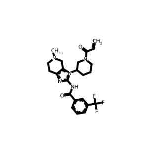 C=CC(=O)N1CCCC(n2c(NC(=O)c3cccc(C(F)(F)F)c3)nc3c2CN(C)CC3)C1